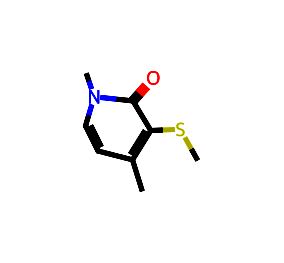 CSc1c(C)ccn(C)c1=O